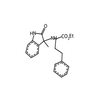 CCOC(=O)C(CCc1ccccc1)NC1(C)C(=O)Nc2ccccc21